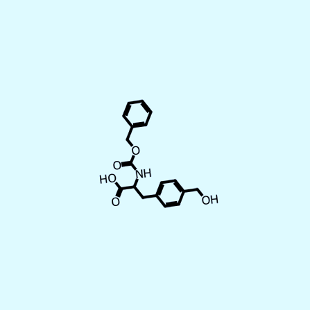 O=C(NC(Cc1ccc(CO)cc1)C(=O)O)OCc1ccccc1